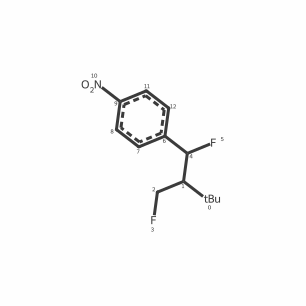 CC(C)(C)C(CF)C(F)c1ccc([N+](=O)[O-])cc1